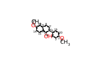 COc1ccc(-c2[c]cc3cc(OC)ccc3c2O)cc1